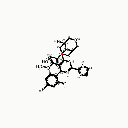 COC(=O)C1=C(CN2C3COC[C@H]2CN(C(=O)CO)C3)NC(c2nccs2)=NC1c1ccc(F)cc1Cl